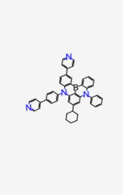 c1ccc(N2c3ccccc3B3c4cc(-c5ccncc5)ccc4N(c4ccc(-c5ccncc5)cc4)c4cc(C5CCCCC5)cc2c43)cc1